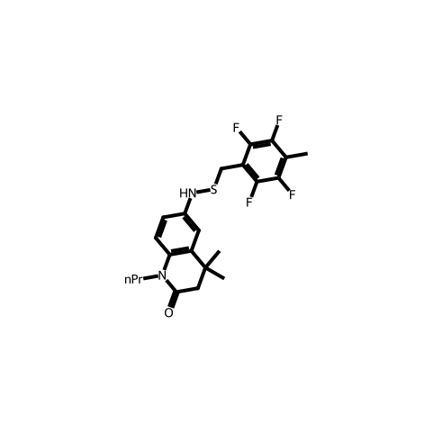 CCCN1C(=O)CC(C)(C)c2cc(NSCc3c(F)c(F)c(C)c(F)c3F)ccc21